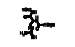 CCCCCCCCNC(=O)C(CNC(=N)N)NC(=O)CCCCCCC